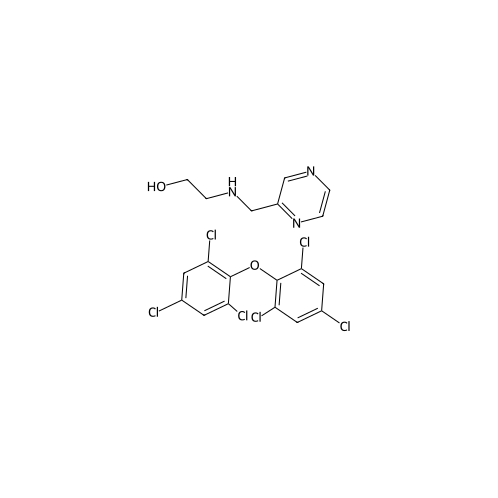 Clc1cc(Cl)c(Oc2c(Cl)cc(Cl)cc2Cl)c(Cl)c1.OCCNCc1cnccn1